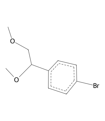 COCC(OC)c1ccc(Br)cc1